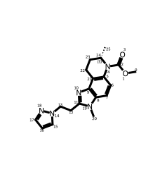 COC(=O)N1c2ccc3c(nc(CCn4cccn4)n3C)c2CC[C@@H]1C